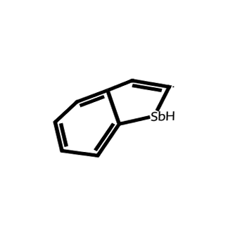 [C]1=Cc2cccc[c]2[SbH]1